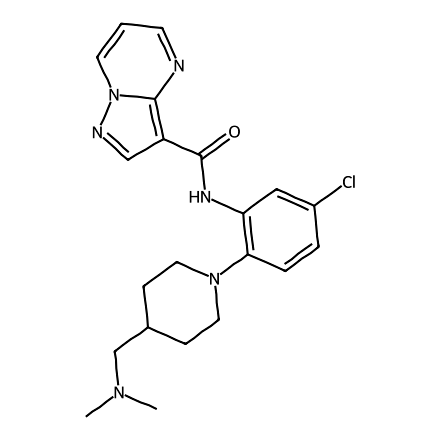 CN(C)CC1CCN(c2ccc(Cl)cc2NC(=O)c2cnn3cccnc23)CC1